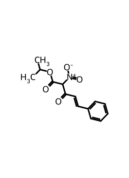 CC(C)OC(=O)C(C(=O)C=Cc1ccccc1)[N+](=O)[O-]